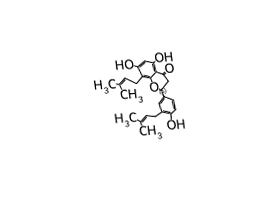 CC(C)=CCc1cc([C@@H]2CC(=O)c3c(O)cc(O)c(CC=C(C)C)c3O2)ccc1O